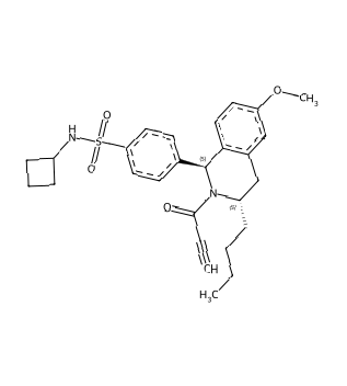 C#CC(=O)N1[C@@H](CCCC)Cc2cc(OC)ccc2[C@@H]1c1ccc(S(=O)(=O)NC2CCC2)cc1